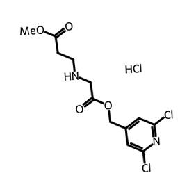 COC(=O)CCNCC(=O)OCc1cc(Cl)nc(Cl)c1.Cl